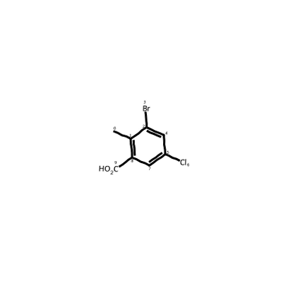 Cc1c(Br)cc(Cl)cc1C(=O)O